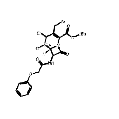 CC(C)(C)OC(=O)C1=C(CBr)C(Br)[S+]([O-])[C@H]2C(NC(=O)COc3ccccc3)C(=O)N12